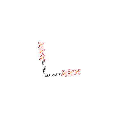 O=P([O-])([O-])[O-].O=P([O-])([O-])[O-].O=P([O-])([O-])[O-].O=P([O-])([O-])[O-].O=P([O-])([O-])[O-].O=P([O-])([O-])[O-].[Li+].[Li+].[Li+].[Li+].[Li+].[Li+].[Li+].[Li+].[Li+].[Li+].[Li+].[Li+].[Li+].[Li+].[Li+].[Li+].[Li+].[Li+]